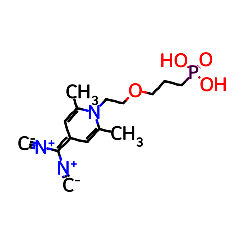 [C-]#[N+]C([N+]#[C-])=C1C=C(C)N(CCOCCCP(=O)(O)O)C(C)=C1